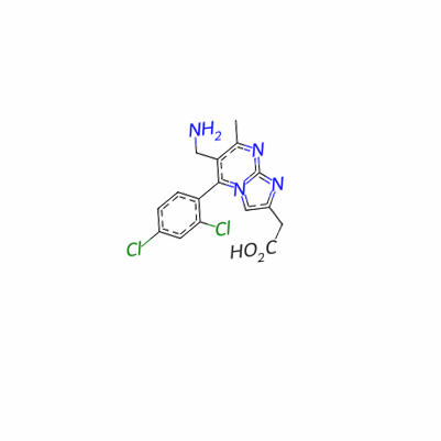 Cc1nc2nc(CC(=O)O)cn2c(-c2ccc(Cl)cc2Cl)c1CN